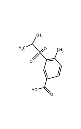 Cc1ccc(C(=O)O)cc1S(=O)(=O)C(C)C